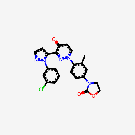 Cc1cc(N2CCOC2=O)ccc1-n1ccc(=O)c(-c2ccnn2-c2cccc(Cl)c2)n1